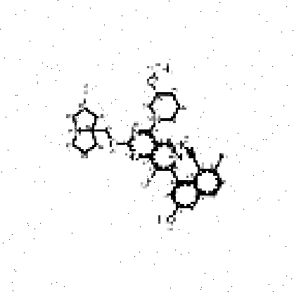 C#Cc1c(F)ccc2cc(O)cc(-c3ncc4c(N5CCC[C@H](OC)C5)nc(OC[C@@]56CCCN5C[C@H](F)C6)nc4c3F)c12